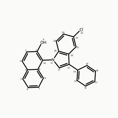 Oc1ccc2ccccc2c1-n1cc(-c2ccccc2)c2cc(Cl)ccc21